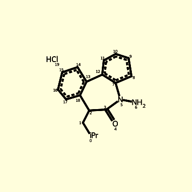 CC(C)CC1C(=O)N(N)c2ccccc2-c2ccccc21.Cl